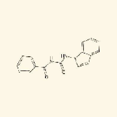 O=C(NC(=O)c1ccccc1)Nn1ccc2c[c]ccc21